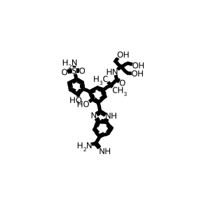 CC(C)(C(=O)NC(CO)(CO)CO)c1cc(-c2nc3cc(C(=N)N)ccc3[nH]2)c(O)c(-c2cc(S(N)(=O)=O)ccc2O)c1